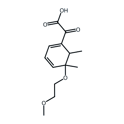 COCCOC1(C)C=CC=C(C(=O)C(=O)O)C1C